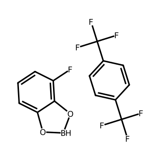 FC(F)(F)c1ccc(C(F)(F)F)cc1.Fc1cccc2c1OBO2